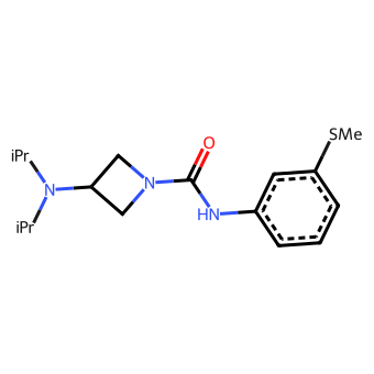 CSc1cccc(NC(=O)N2CC(N(C(C)C)C(C)C)C2)c1